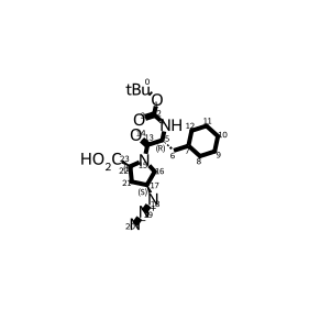 CC(C)(C)OC(=O)N[C@H](CC1CCCCC1)C(=O)N1C[C@@H](N=[N+]=[N-])C[C@H]1C(=O)O